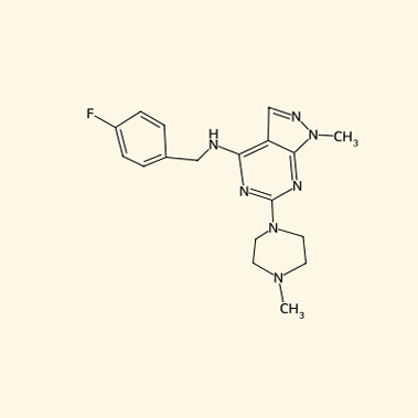 CN1CCN(c2nc(NCc3ccc(F)cc3)c3cnn(C)c3n2)CC1